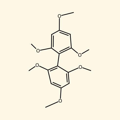 COc1cc(OC)c(-c2c(OC)cc(OC)cc2OC)c(OC)c1